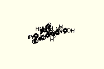 CC(C)c1ccccc1[C@@H]1COCCN1C1CC2(CCN(c3ccc(C(=O)NS(=O)(=O)c4ccc(NC[C@H]5CC[C@](C)(O)CC5)c([N+](=O)[O-])c4)c(N4CC[C@@H]5COCCN5c5nc6[nH]cc(F)c6cc54)c3)CC2)C1